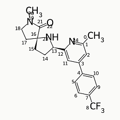 Cc1cc(-c2ccc(C(F)(F)F)cc2)cc([C@H]2CC[C@]3(CCN(C)C3=O)N2)n1